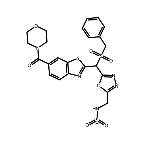 O=C(c1ccc2nc(C(c3nnc(CN[SH](=O)=O)o3)S(=O)(=O)Cc3ccccc3)sc2c1)N1CCOCC1